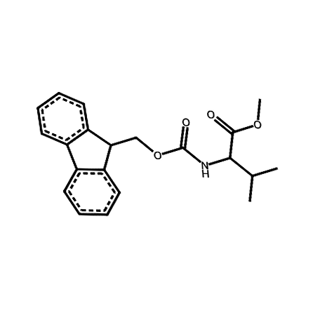 COC(=O)C(NC(=O)OCC1c2ccccc2-c2ccccc21)C(C)C